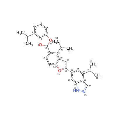 CC(C)c1cccc2c1OC(c1ccc3oc(-c4cc(C(C)C)c5cn[nH]c5c4)cc3c1C(C)C)O2